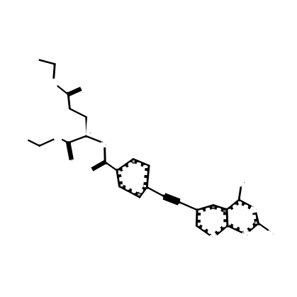 CCOC(=O)CC[C@@H](NC(=O)c1ccc(C#Cc2cnc3nc(N)nc(O)c3c2)cc1)C(=O)OCC